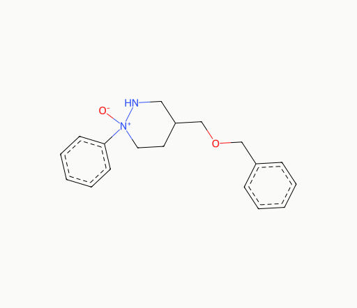 [O-][N+]1(c2ccccc2)CCC(COCc2ccccc2)CN1